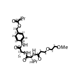 COCCOCCC(=O)N[C@@H](C(=O)N[C@H](C)C(=O)Nc1ccc(COC(=O)C(C)C)cc1)C(C)C